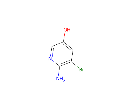 Nc1ncc(O)cc1Br